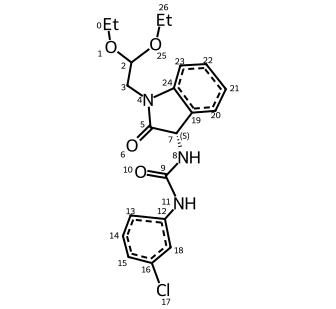 CCOC(CN1C(=O)[C@@H](NC(=O)Nc2cccc(Cl)c2)c2ccccc21)OCC